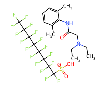 CCN(CC)CC(=O)Nc1c(C)cccc1C.O=S(=O)(O)C(F)(F)C(F)(F)C(F)(F)C(F)(F)C(F)(F)C(F)(F)C(F)(F)C(F)(F)F